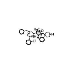 CS(=O)(=O)[N+]1(NC(=O)C(COCc2ccccc2)NC(=O)c2ccccc2Cl)CC2(CCNCC2)c2ccccc21